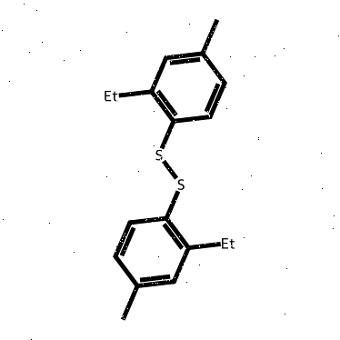 CCc1cc(C)ccc1SSc1ccc(C)cc1CC